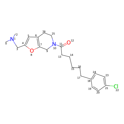 CN(C)Cc1cc2c(o1)CN(C(=O)CCCCCc1ccc(Cl)cc1)CC2